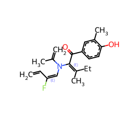 C=C/C(F)=C\N(C(=C)C)/C(C(=O)c1ccc(O)c(C)c1)=C(\C)CC